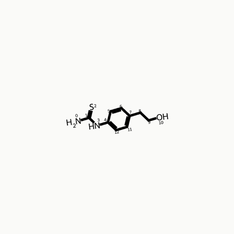 NC(=S)Nc1ccc(CCO)cc1